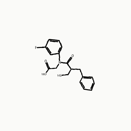 O=C(O)CN(C(=O)C(CS)Cc1ccccc1)c1cccc(F)c1